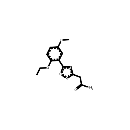 CCOc1ccc(OC)cc1-c1nc(CC(N)=O)no1